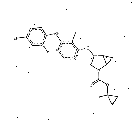 CCc1ccc(Nc2ncnc(OC3CN(C(=O)OC4(C)CC4)C4CC34)c2C)c(F)c1